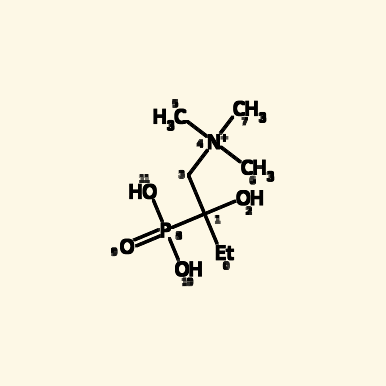 CCC(O)(C[N+](C)(C)C)P(=O)(O)O